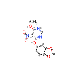 COc1ncnc(Oc2ccc3c(c2)OCO3)c1[N+](=O)[O-]